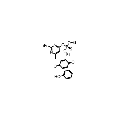 CCOP(=S)(OCC)Oc1cc(C)nc(C(C)C)n1.O=C1C=CC(=O)C=C1.Oc1ccccc1